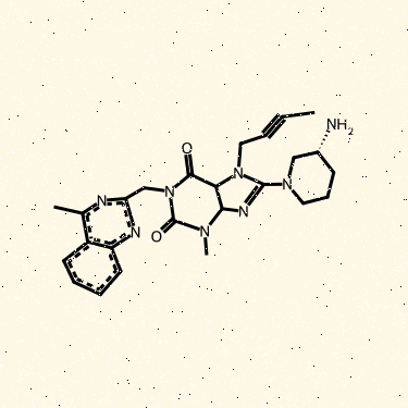 CC#CCN1C(N2CCC[C@@H](N)C2)=NC2C1C(=O)N(Cc1nc(C)c3ccccc3n1)C(=O)N2C